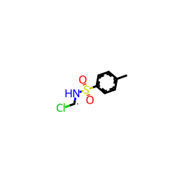 Cc1ccc(S(=O)(=O)N[CH]Cl)cc1